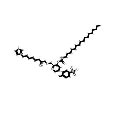 CCCCCCCCCCCCCCCCCNC(=O)O[C@@H]1CCCO[C@H]1COCC(O)CCCCCC[n+]1ccsc1.Cc1ccc(S(=O)(=O)[O-])cc1